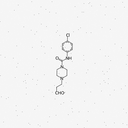 O=[C]CCN1CCN(C(=O)Nc2ccc(Cl)cc2)CC1